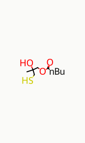 CCCCC(=O)OCC(C)(O)CS